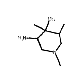 CC1CN(C)CC(N)C1(C)O